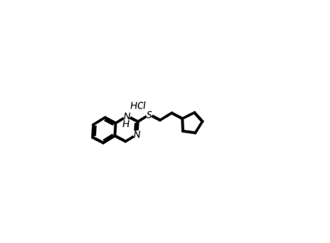 Cl.c1ccc2c(c1)CN=C(SCCC1CCCC1)N2